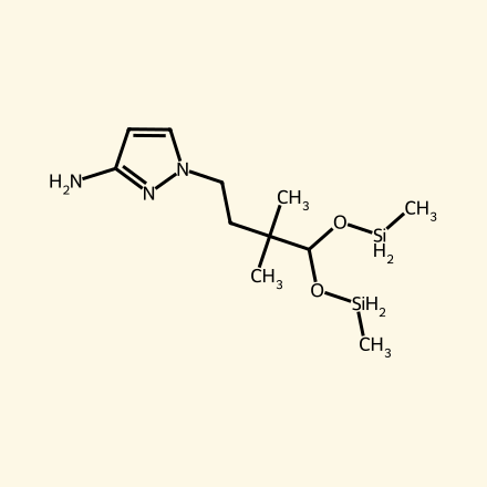 C[SiH2]OC(O[SiH2]C)C(C)(C)CCn1ccc(N)n1